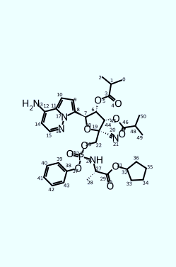 CC(C)C(=O)O[C@H]1[C@H](c2ccc3c(N)ccnn23)O[C@](C#N)(COP(=O)(N[C@@H](C)C(=O)OC2CCCC2)Oc2ccccc2)[C@H]1OC(=O)C(C)C